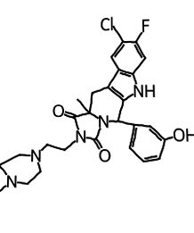 CN1CCN(CCN2C(=O)N3C(c4cccc(O)c4)c4[nH]c5cc(F)c(Cl)cc5c4CC3(C)C2=O)CC1